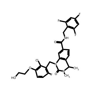 CC1c2ccc(C(=O)NCc3c(F)cc(F)cc3F)cc2N(Cc2c(F)ccc(OCCO)c2Cl)C(=O)N1C